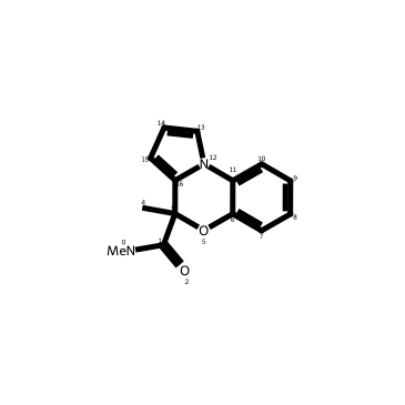 CNC(=O)C1(C)Oc2ccccc2-n2cccc21